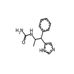 CC(NC(N)=O)C(c1ccccc1)c1cnc[nH]1